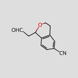 N#Cc1ccc2c(c1)CCOC2CC=O